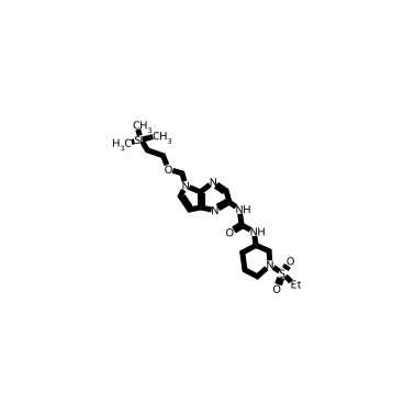 CCS(=O)(=O)N1CCCC(NC(=O)Nc2cnc3c(ccn3COCC[Si](C)(C)C)n2)C1